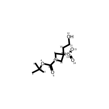 CC(C)(C)OC(=O)N1CC(CCO)([SH](=O)=O)C1